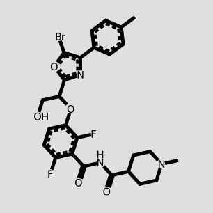 Cc1ccc(-c2nc(C(CO)Oc3ccc(F)c(C(=O)NC(=O)C4CCN(C)CC4)c3F)oc2Br)cc1